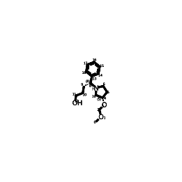 COCO[C@H]1CCN([C@H](CCCO)c2ccccc2)C1